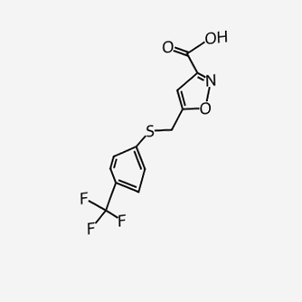 O=C(O)c1cc(CSc2ccc(C(F)(F)F)cc2)on1